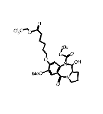 COc1cc2c(cc1OCCCCCC(=O)OCC(Cl)(Cl)Cl)N(C(=O)OC(C)(C)C)C(O)C1CCCN1C2=O